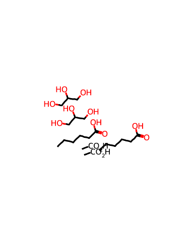 CC(=O)O.CC(=O)O.CCCCCC(=O)O.CCCCCC(=O)O.OCC(O)CO.OCC(O)CO